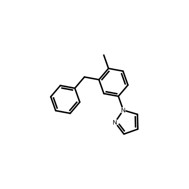 Cc1ccc(-n2cccn2)cc1Cc1ccccc1